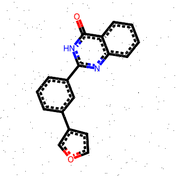 O=c1[nH]c(-c2cccc(-c3ccoc3)c2)nc2ccccc12